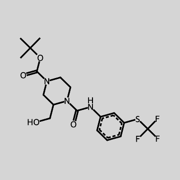 CC(C)(C)OC(=O)N1CCN(C(=O)Nc2cccc(SC(F)(F)F)c2)C(CO)C1